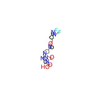 O=C(O)c1ccc2nc(CN3CCC(c4cccc(OCc5ccc6cnn(CC(F)F)c6c5)n4)CC3)n(CC3CCO3)c2n1